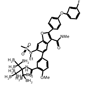 BC(B)(B)C(NC(=O)c1cc(-c2cc3c(C(=O)NC)c(-c4ccc(Oc5cccc(F)c5)cc4)oc3cc2N(CC)S(C)(=O)=O)ccc1OC)(C(B)(B)B)C(B)(B)B